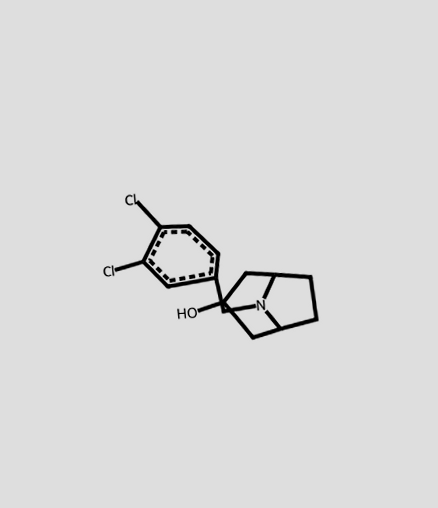 OC1CC2CCC(C1)N2Cc1ccc(Cl)c(Cl)c1